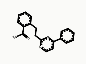 NC(=O)c1ccccc1C[CH]c1nccc(-c2ccccc2)n1